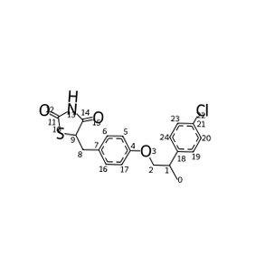 CC(COc1ccc(CC2SC(=O)NC2=O)cc1)c1ccc(Cl)cc1